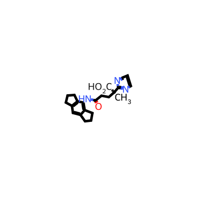 CC(CCC(=O)Nc1c2c(cc3c1CCC3)CCC2)(C(=O)O)c1ncccn1